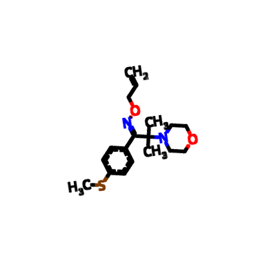 C=CCON=C(c1ccc(SC)cc1)C(C)(C)N1CCOCC1